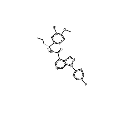 CCC[C@@H](NC(=O)c1cncc2c1cnn2-c1ccc(F)cc1)c1ccc(OC)c(Br)c1